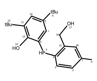 Cc1ccc(Pc2cc(C(C)(C)C)cc(C(C)(C)C)c2O)c(CO)c1